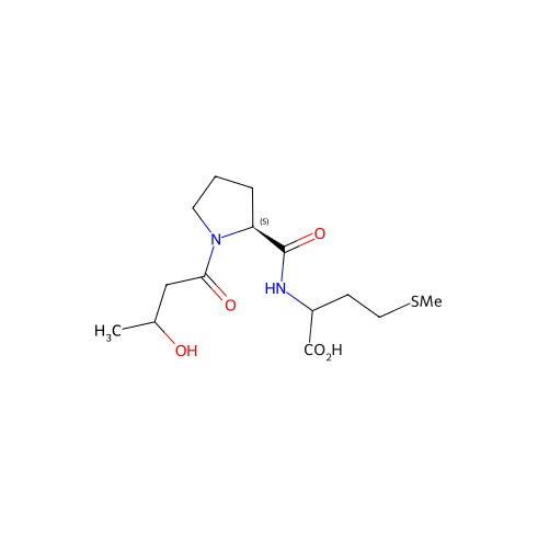 CSCCC(NC(=O)[C@@H]1CCCN1C(=O)CC(C)O)C(=O)O